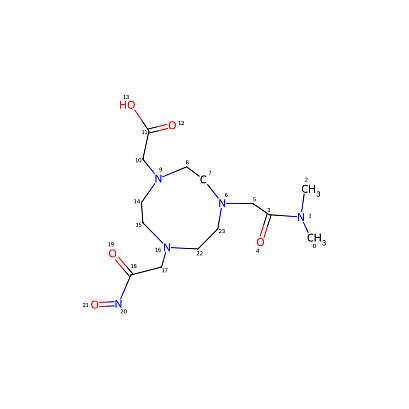 CN(C)C(=O)CN1CCN(CC(=O)O)CCN(CC(=O)N=O)CC1